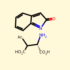 CC(=O)C(C(=O)O)[C@H](N)C(=O)O.O=C1C=c2ccccc2=N1